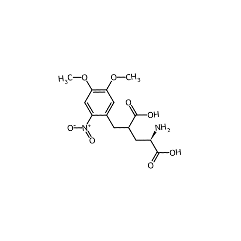 COc1cc(CC(C[C@@H](N)C(=O)O)C(=O)O)c([N+](=O)[O-])cc1OC